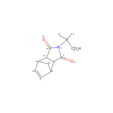 CC(C)(C(=O)O)N1C(=O)C2C3C=CC(C3)C2C1=O